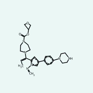 C=Nn1cc(-c2ccc(N3CCNCC3)cc2)cc1/C(=C\C)N1CCN(C(=O)OC2COC2)CC1